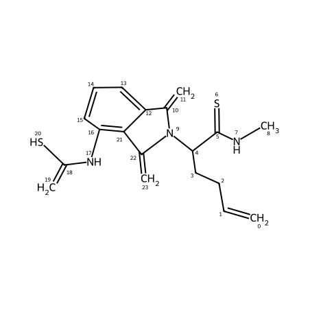 C=CCCC(C(=S)NC)n1c(=C)c2cccc(NC(=C)S)c2c1=C